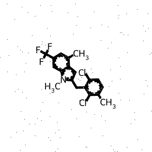 Cc1ccc(Cl)c(Cc2cc3c(C)cc(C(F)(F)F)cc3n2C)c1Cl